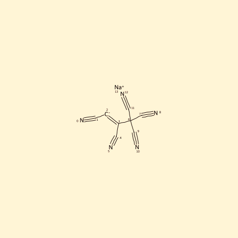 N#C[C-]=C(C#N)C(C#N)(C#N)C#N.[Na+]